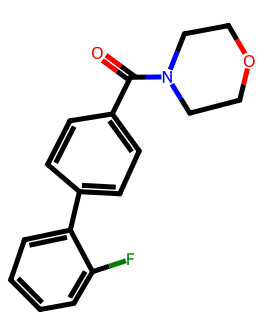 O=C(c1ccc(-c2ccccc2F)cc1)N1CCOCC1